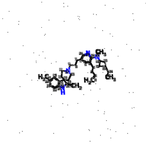 C=CCCc1cc(CCCN2CCC3(CC2)C(=C)Nc2ccc(C)cc23)cnc1N(C)C1CC(CC)C1